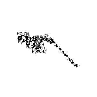 CC[C@@H](C)[C@H]([C@H](CC(=O)N1CCC[C@@H]1[C@@H](OC)[C@H](C)C(=O)N[C@@H](C)[C@H](O)c1ccccc1)OC)N(C)C(=O)[C@H](NC(=O)[C@@H](C(C)C)N(C)C(=O)NCCC[Si](C)(C)O[Si](C)(C)CSc1ncc(COCCOCCOCCOCCOCCOCCN=[N+]=[N-])cn1)C(C)C